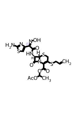 C=CCSC1=C(C(=O)OC(C)OC(C)=O)N2C(=O)[C@@H](NC(=O)/C(=N\O)c3csc(N)n3)[C@@H]2SC1